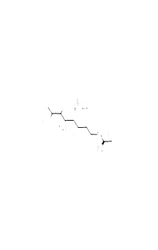 CC(=N)NCCCC[C@H](N)C(O)C(C)O.Cl.Cl.O